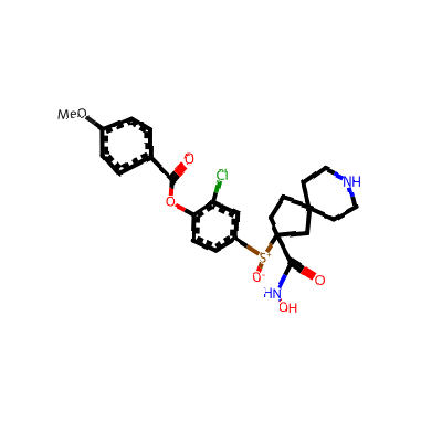 COc1ccc(C(=O)Oc2ccc([S+]([O-])C3(C(=O)NO)CCC4(CCNCC4)C3)cc2Cl)cc1